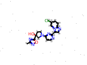 Cc1noc(C2(O)CCN(c3ccnc(-c4cnc5ccc(Cl)cn45)n3)C2)n1